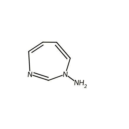 NN1C=CC=CN=C1